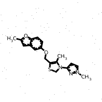 CC1=C(COc2ccc3oc(C)cc3c2)SCN1c1ccn(C)n1